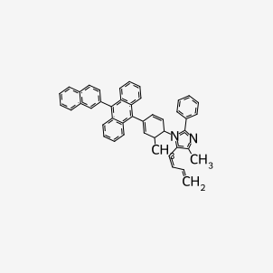 C=C/C=C\c1c(C)nc(-c2ccccc2)n1C1C=CC(c2c3ccccc3c(-c3ccc4ccccc4c3)c3ccccc23)=CC1C